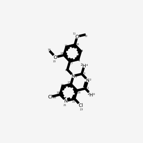 [2H]C1=NC([2H])N(Cc2ccc(OC)cc2OC)c2cc(Cl)nc(Cl)c21